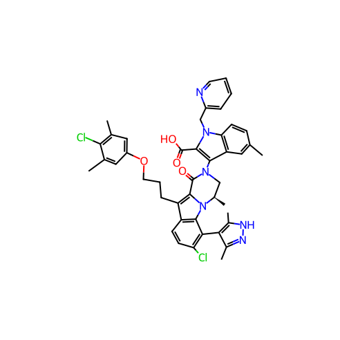 Cc1ccc2c(c1)c(N1C[C@@H](C)n3c(c(CCCOc4cc(C)c(Cl)c(C)c4)c4ccc(Cl)c(-c5c(C)n[nH]c5C)c43)C1=O)c(C(=O)O)n2Cc1ccccn1